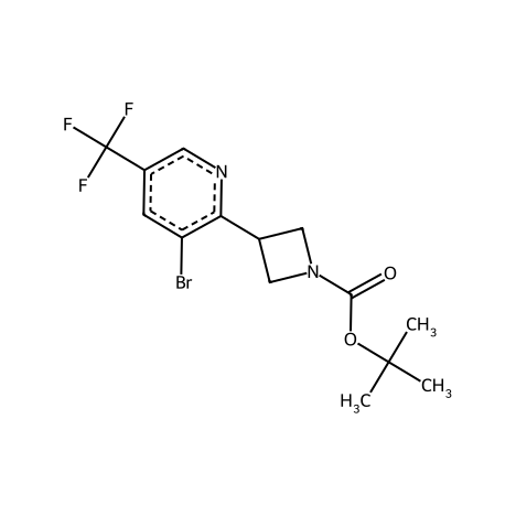 CC(C)(C)OC(=O)N1CC(c2ncc(C(F)(F)F)cc2Br)C1